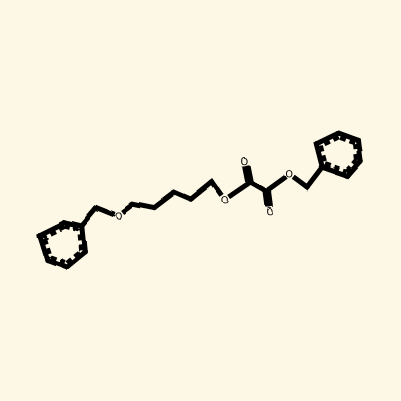 O=C(OCCCCCOCc1ccccc1)C(=O)OCc1ccccc1